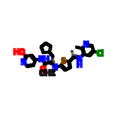 Cc1ncc(Cl)cc1N[C@@H](C)c1ccc(N(C=O)[C@@H](CC2CCCC2)C(=O)Nc2ccnc(O)c2)s1